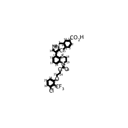 O=C(O)c1ccc(Cl)c(Cn2cc(-c3cccc4c3SCCN4C(=O)OCCOc3cccc(Cl)c3C(F)(F)F)cn2)c1